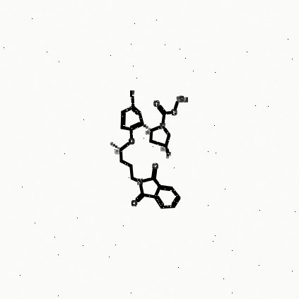 C[C@@H](CCCN1C(=O)c2ccccc2C1=O)Oc1ccc(F)cc1[C@H]1C[C@H](F)CN1C(=O)OC(C)(C)C